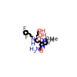 COc1ccc2nc(C(N)=O)cc([C@]3(C(=O)O)CC[C@@H](NC/C=C/c4cc(F)ccc4F)[C@@H](C[C@H](O)CO)O3)c2n1